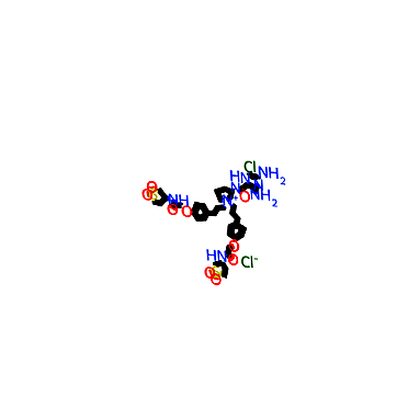 Nc1nc(N)c(C(=O)N[C@H]2CCC[N+](CCCc3ccc(OCC(=O)NC4CCS(=O)(=O)C4)cc3)(CCCc3ccc(OCC(=O)NC4CCS(=O)(=O)C4)cc3)C2)nc1Cl.[Cl-]